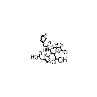 O=C(O)Cc1csc(C2=C(C(=O)O)N3C(=O)C(=S)[C@@H]3SC2NC(=O)Cc2ccsc2)n1